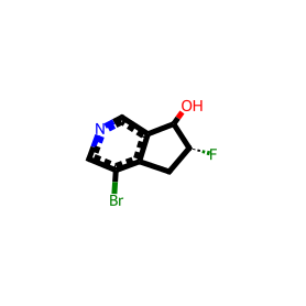 OC1c2cncc(Br)c2C[C@H]1F